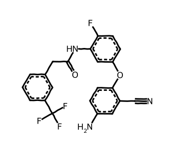 N#Cc1cc(N)ccc1Oc1ccc(F)c(NC(=O)Cc2cccc(C(F)(F)F)c2)c1